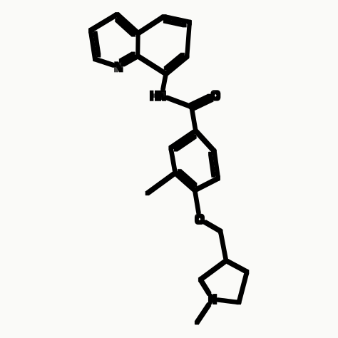 Cc1cc(C(=O)Nc2cccc3cccnc23)ccc1OCC1CCN(C)C1